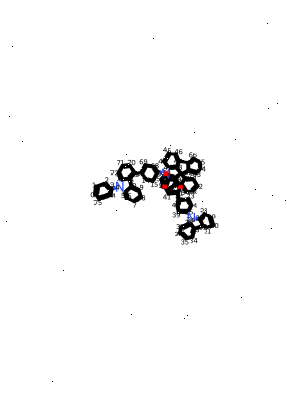 c1ccc(-n2c3ccccc3c3c(-c4ccc(N(c5ccc(-c6ccc(-n7c8ccccc8c8ccccc87)cc6)cc5)c5cccc6c5C(c5ccccc5)(c5ccccc5)c5ccccc5-6)cc4)cccc32)cc1